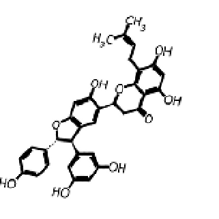 CC(C)=CCc1c(O)cc(O)c2c1O[C@H](c1cc3c(cc1O)O[C@@H](c1ccc(O)cc1)[C@@H]3c1cc(O)cc(O)c1)CC2=O